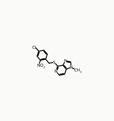 Cn1cnc2c(SCc3ccc(Cl)cc3[N+](=O)[O-])nccc21